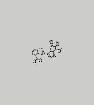 COC(=O)c1cccc2c1CN(c1ncnc3c(OC)c(OC)c(OC)cc13)CC2